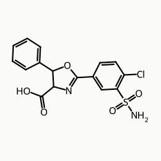 NS(=O)(=O)c1cc(C2=NC(C(=O)O)C(c3ccccc3)O2)ccc1Cl